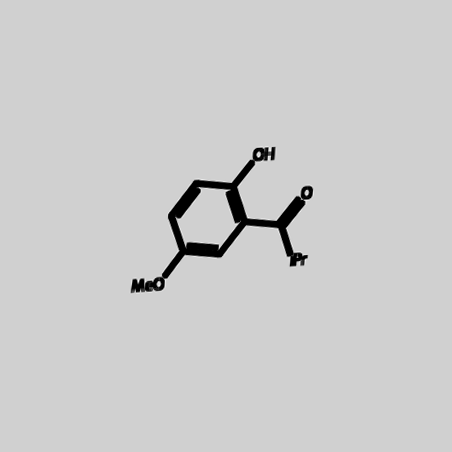 COc1ccc(O)c(C(=O)C(C)C)c1